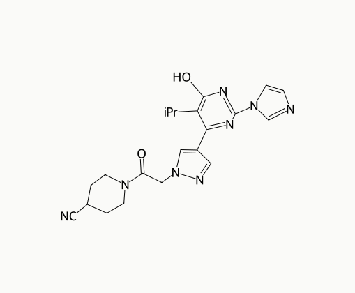 CC(C)c1c(O)nc(-n2ccnc2)nc1-c1cnn(CC(=O)N2CCC(C#N)CC2)c1